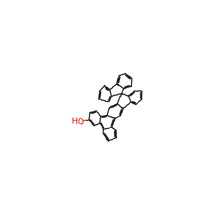 Oc1ccc2c(c1)c1ccccc1c1cc3c(cc21)C1(c2ccccc2-c2ccccc21)c1ccccc1-3